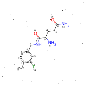 CC(C)c1ccc(CNC(=O)C(N)CCC(N)=O)cc1F